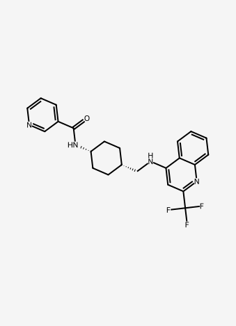 O=C(N[C@H]1CC[C@@H](CNc2cc(C(F)(F)F)nc3ccccc23)CC1)c1cccnc1